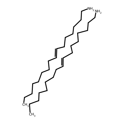 CCCCCCCCC=CCCCCCCCN.CCCCCCCCC=CCCCCCCN